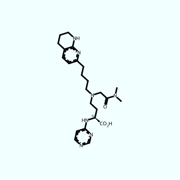 CN(C)C(=O)CN(CCCCc1ccc2c(n1)NCCC2)CC[C@H](Nc1ccncn1)C(=O)O